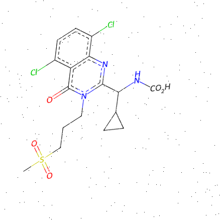 CS(=O)(=O)CCCn1c(C(NC(=O)O)C2CC2)nc2c(Cl)ccc(Cl)c2c1=O